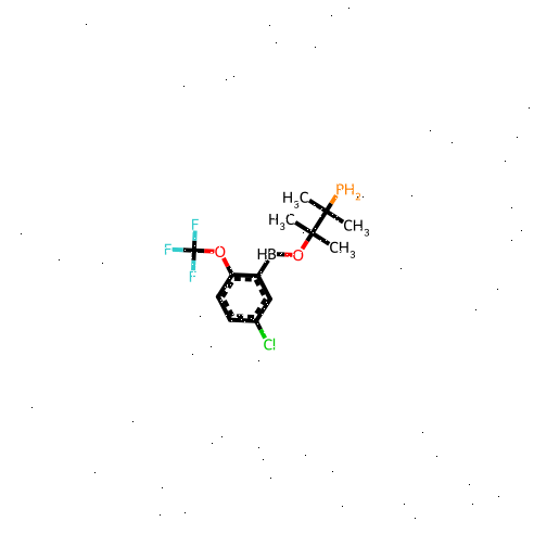 CC(C)(P)C(C)(C)OBc1cc(Cl)ccc1OC(F)(F)F